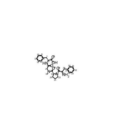 CN(CC(=O)N[C@@H](Cc1ccccc1)C(=O)O)C(=O)[C@@H]1CCCN1C(=O)[C@H](N)Cc1ccccc1